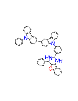 c1ccc(C2NC(c3cccc(-n4c5ccccc5c5cc(-c6ccc7c(c6)c6ccccc6n7-c6ccccc6)ccc54)c3)Nc3c2oc2ccccc32)cc1